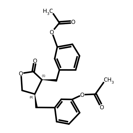 CC(=O)Oc1cccc(C[C@H]2COC(=O)[C@H]2Cc2cccc(OC(C)=O)c2)c1